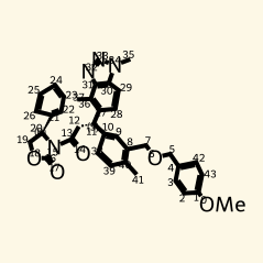 COc1ccc(COCc2cc([C@H](CC(=O)N3C(=O)OC[C@H]3c3ccccc3)c3ccc4c(nnn4C)c3C)ccc2C)cc1